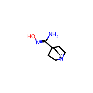 N/C(=N\O)C12CCN(CC1)CC2